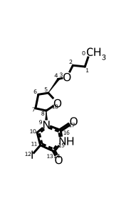 CCCOC[C@@H]1CC[C@H](n2cc(I)c(=O)[nH]c2=O)O1